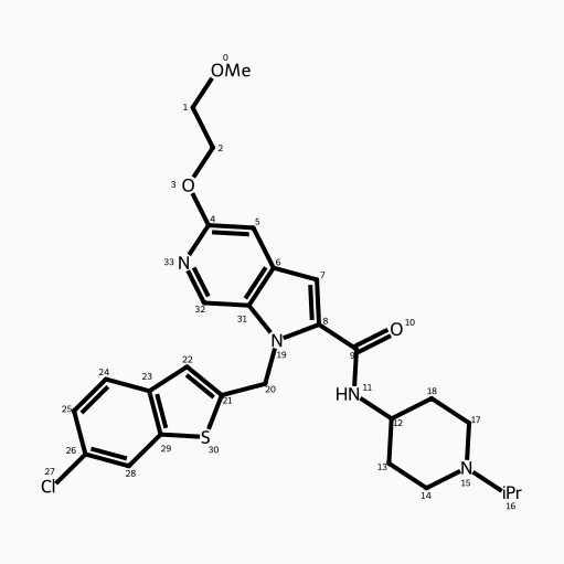 COCCOc1cc2cc(C(=O)NC3CCN(C(C)C)CC3)n(Cc3cc4ccc(Cl)cc4s3)c2cn1